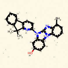 Bc1cccc2c1nc1n(-c3ccc4c(n3)C(C)(C)c3ccccc3-4)c3cc(O)ccc3n21